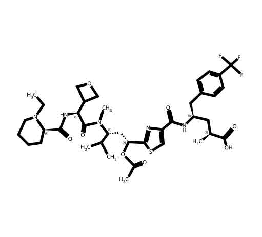 CCN1CCCC[C@@H]1C(=O)N[C@H](C(=O)N(C)[C@H](C[C@@H](OC(C)=O)c1nc(C(=O)N[C@@H](Cc2ccc(C(F)(F)F)cc2)C[C@H](C)C(=O)O)cs1)C(C)C)C1COC1